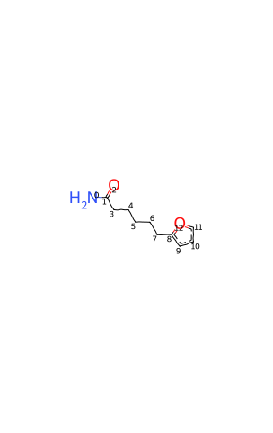 NC(=O)CCCCCc1ccco1